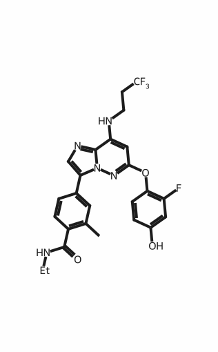 CCNC(=O)c1ccc(-c2cnc3c(NCCC(F)(F)F)cc(Oc4ccc(O)cc4F)nn23)cc1C